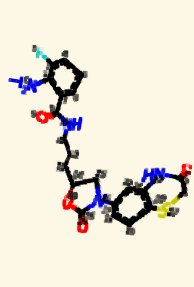 Nc1c(F)cccc1C(=O)NCCCC1CN(c2ccc3c(c2)NC(=O)CS3)C(=O)O1